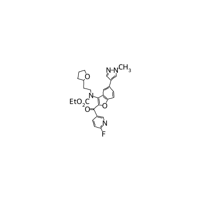 CCOC(=O)N(CCC1CCCO1)c1c(C(=O)c2ccc(F)nc2)oc2ccc(-c3cnn(C)c3)cc12